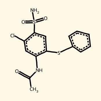 CC(=O)Nc1cc(Cl)c(S(N)(=O)=O)cc1Sc1ccccc1